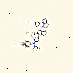 Cc1ccc(N(c2cccc3ccccc23)c2cc3c(c4ccccc24)-c2ccc(N(c4ccc([Si](C)(C)C)cc4)c4cccc(F)c4)cc2C3(C)C)cc1